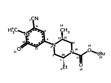 CC[C@@H]1CN(c2cc(C#N)n(C)c(=O)c2)[C@@H](C)CN1C(=O)OC(C)(C)C